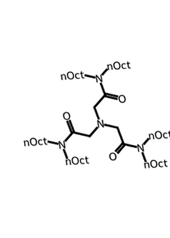 CCCCCCCCN(CCCCCCCC)C(=O)CN(CC(=O)N(CCCCCCCC)CCCCCCCC)CC(=O)N(CCCCCCCC)CCCCCCCC